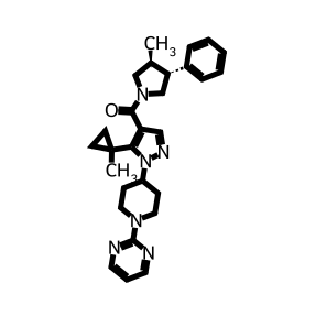 C[C@@H]1CN(C(=O)c2cnn(C3CCN(c4ncccn4)CC3)c2C2(C)CC2)C[C@H]1c1ccccc1